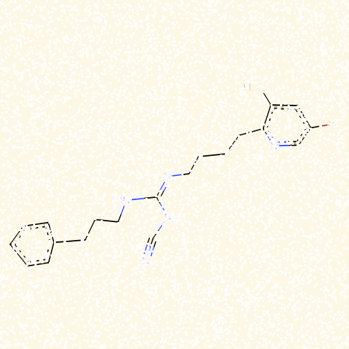 Cc1cc(Br)cnc1CCCCN=C(NC#N)NCCCc1ccccc1